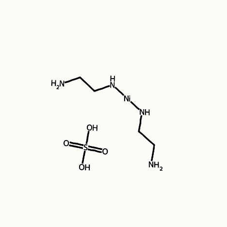 NCC[NH][Ni][NH]CCN.O=S(=O)(O)O